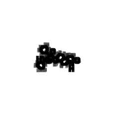 C[C@]12CCC3C(CC=C4NC(=O)CC[C@@]43C)C1CCC2C(=O)N(C(=O)NC1CCCCC1)C1CCCCC1